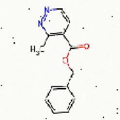 Cc1nnccc1C(=O)OCc1ccccc1